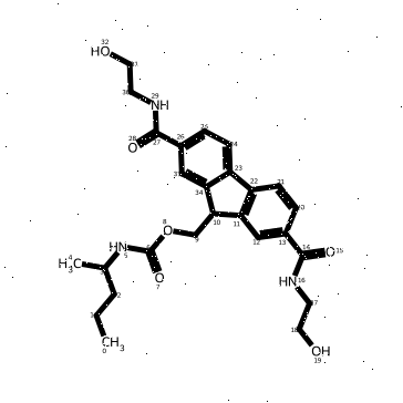 CCCC(C)NC(=O)OCC1c2cc(C(=O)NCCO)ccc2-c2ccc(C(=O)NCCO)cc21